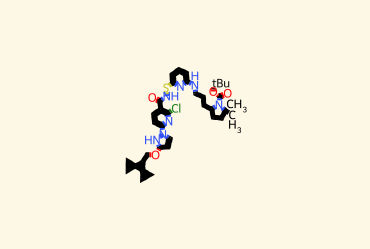 CC(C)(C)OC(=O)N1C(CCCNc2cccc(SNC(=O)c3ccc(N4C=CC(OCC5C6(CC6)C56CC6)N4)nc3Cl)n2)CCC1(C)C